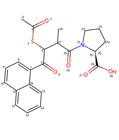 CC(=O)SC(C(=O)c1cccc2ccccc12)C(C)C(=O)N1CCC[C@H]1C(=O)O